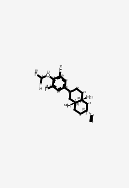 C=C[C@@H]1CC[C@@H]2CC(c3cc(F)c(OC(F)F)c(F)c3)CC[C@@H]2C1